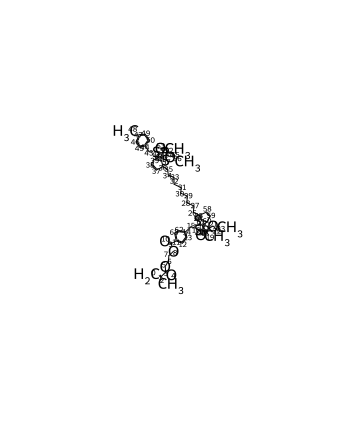 C=C(C)C(=O)OCCOC(=O)c1ccc(CSC2(P(C)(=O)OCC)SC3(CCCCCCCCCCC45C=CC(C4)C(SCc4ccc(C)cc4)(P(C)(=O)OCC)S5)C=CC2C3)cc1